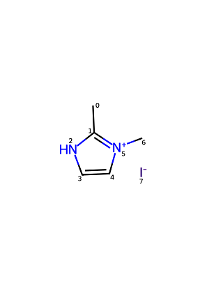 Cc1[nH]cc[n+]1C.[I-]